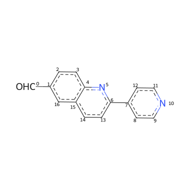 O=Cc1ccc2nc(-c3ccncc3)ccc2c1